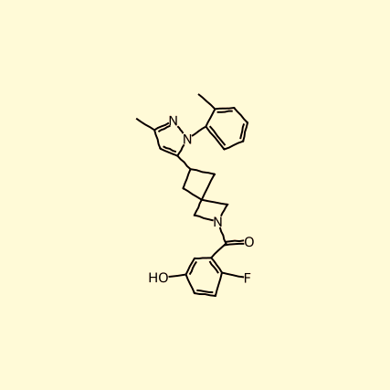 Cc1cc(C2CC3(C2)CN(C(=O)c2cc(O)ccc2F)C3)n(-c2ccccc2C)n1